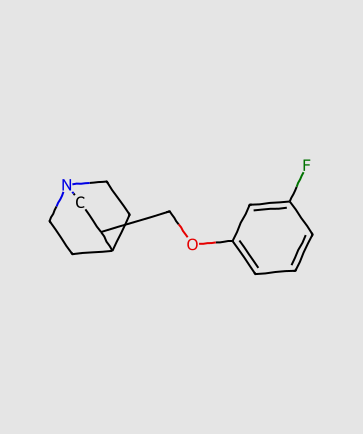 Fc1cccc(OCC2CN3CCC2CC3)c1